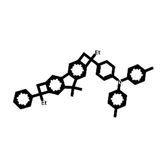 CCC1(C2=CC=C(N(c3ccc(C)cc3)c3ccc(C)cc3)CC2)Cc2cc3c(cc21)C(C)(C)c1cc2c(cc1-3)CC2(CC)c1ccccc1